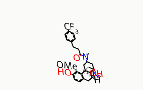 COc1c(O)ccc2c1[C@]13CCN(C)[C@H](C2)[C@]1(O)CCC(N(C)C(=O)CCc1ccc(C(F)(F)F)cc1)C3